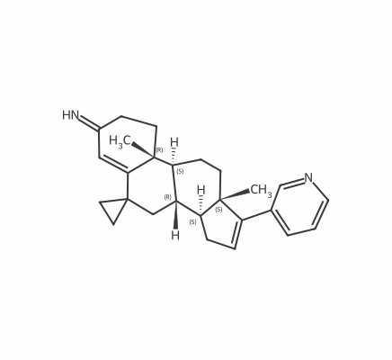 C[C@]12CCC(=N)C=C1C1(CC1)C[C@@H]1[C@@H]2CC[C@]2(C)C(c3cccnc3)=CC[C@@H]12